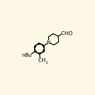 CCCCc1ccc(N2CCC(C=O)CC2)cc1C